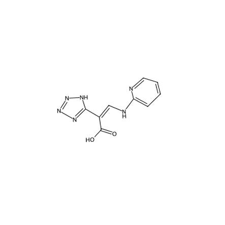 O=C(O)C(=CNc1ccccn1)c1nnn[nH]1